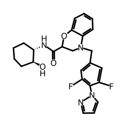 O=C(N[C@H]1CCCC[C@@H]1O)C1CN(Cc2cc(F)c(-n3cccn3)c(F)c2)c2ccccc2O1